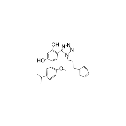 COc1ccc(C(C)C)cc1-c1cc(-c2nnnn2CCCc2ccccc2)c(O)cc1O